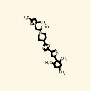 Cc1cc(C)c(C2CC(c3csc(C4CCN(C(C=O)Cn5nc(C(F)(F)F)cc5C)CC4)n3)=NO2)c(C)c1